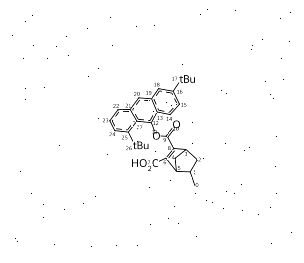 CC1CC2CC1C(C(=O)O)=C2C(=O)Oc1c2ccc(C(C)(C)C)cc2cc2cccc(C(C)(C)C)c12